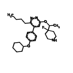 CCCCc1nnc(OC(C)C2(F)CCNCC2)cc1-c1ccc(OC2CCCCC2)cc1